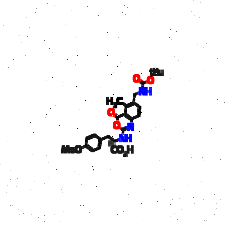 COc1ccc(C[C@H](Nc2nc3ccc(CNC(=O)OC(C)(C)C)c(C)c3c(=O)o2)C(=O)O)cc1